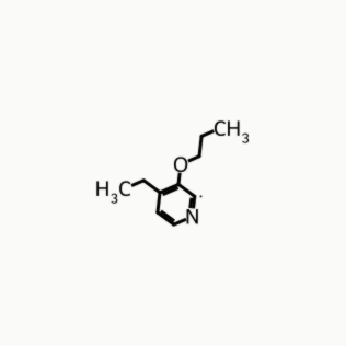 CCCOc1[c]nccc1CC